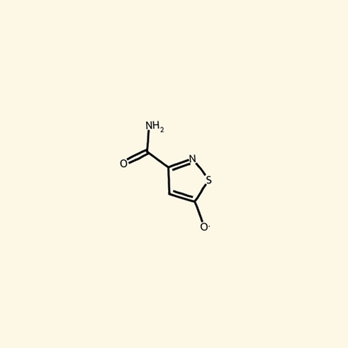 NC(=O)c1cc([O])sn1